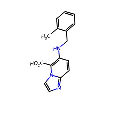 Cc1ccccc1CNc1ccc2nccn2c1C(=O)O